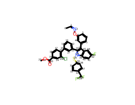 C/C=N\Oc1cccc(-c2c(-c3cccc(-c4ccc(C(=O)OC)cc4Cl)c3)n(Sc3ccc(C(F)F)cc3)c3ccc(F)cc23)c1